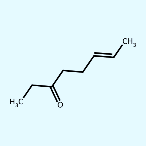 C/C=C/CCC(=O)CC